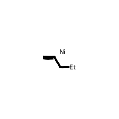 C=CCCC.[Ni]